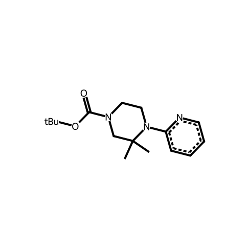 CC(C)(C)OC(=O)N1CCN(c2ccccn2)C(C)(C)C1